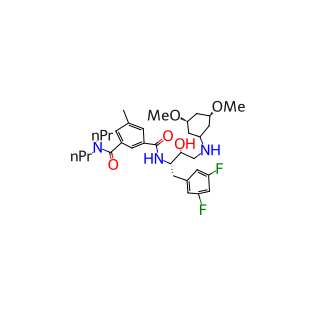 CCCN(CCC)C(=O)c1cc(C)cc(C(=O)N[C@@H](Cc2cc(F)cc(F)c2)[C@H](O)CNC2C[C@@H](OC)C[C@@H](OC)C2)c1